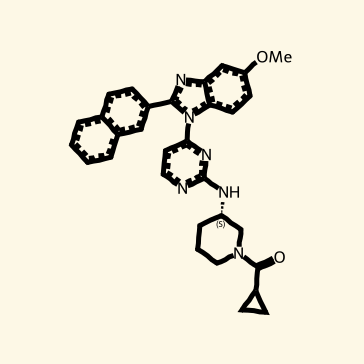 COc1ccc2c(c1)nc(-c1ccc3ccccc3c1)n2-c1ccnc(N[C@H]2CCCN(C(=O)C3CC3)C2)n1